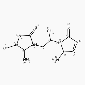 CC(C[SH]1C(=S)NN(Br)C1N)[SH]1C(=S)N=NC1N